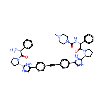 CN1CCN(C(=O)N[C@@H](C(=O)N2CCC[C@H]2c2ncc(-c3ccc(C#Cc4ccc(-c5cnc([C@@H]6CCCN6C(=O)[C@H](N)c6ccccc6)[nH]5)cc4)cc3)[nH]2)c2ccccc2)CC1